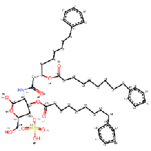 O=C(C[C@H](CCCCCCc1ccccc1)OC(=O)CCCCCCCCc1ccccc1)N[C@H]1C(O)O[C@H](CO)[C@@H](OS(=O)(=O)O)[C@@H]1OC(=O)CCCCCCCCc1ccccc1